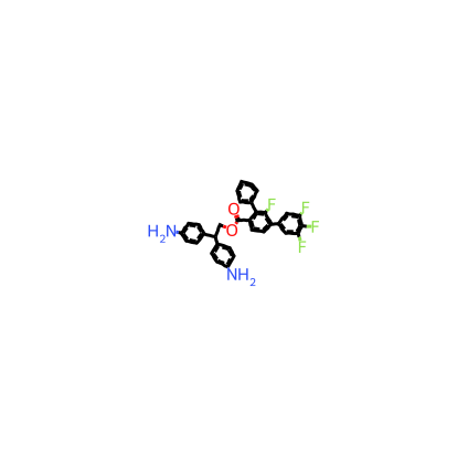 Nc1ccc(C(COC(=O)c2ccc(-c3cc(F)c(F)c(F)c3)c(F)c2-c2ccccc2)c2ccc(N)cc2)cc1